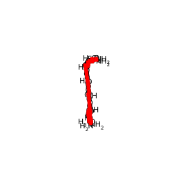 C/C(=C\c1cc(F)c(Oc2ccc(S(=O)(=O)NCCOCCOCCOCCNC(=O)OCCOCCOCCOC(=O)NCCOCCOCCOCCNS(=O)(=O)c3ccc(Oc4c(F)cc(/C=C(\C)C(=O)N=C(N)N)cc4F)cc3)cc2)c(F)c1)C(=O)N=C(N)N